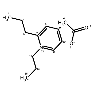 CC(=O)[O-].CCCc1cccc[n+]1CCC